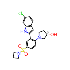 O=S(=O)(c1ccc(N2CC[C@H](O)C2)c(-c2cc3ccc(Cl)cc3[nH]2)c1)N1CCC1